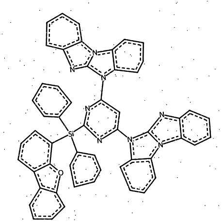 c1ccc([Si](c2ccccc2)(c2nc(-n3c4ccccc4n4c5ccccc5nc34)cc(-n3c4ccccc4n4c5ccccc5nc34)n2)c2cccc3c2oc2ccccc23)cc1